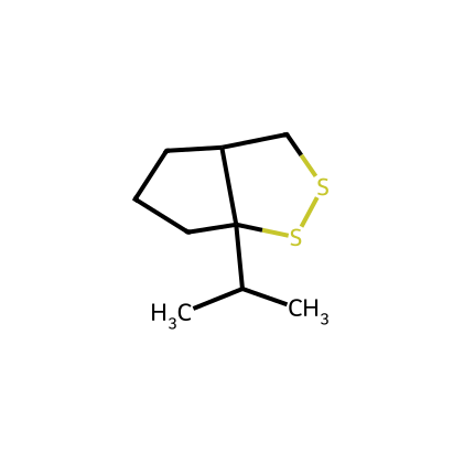 CC(C)C12CCCC1CSS2